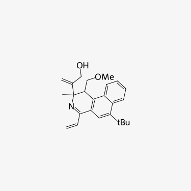 C=CC1=NC(C)(C(=C)CO)C(COC)c2c1cc(C(C)(C)C)c1ccccc21